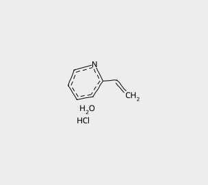 C=Cc1ccccn1.Cl.O